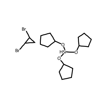 BrC1CC1Br.C1CCC(O[SiH](OC2CCCC2)OC2CCCC2)C1